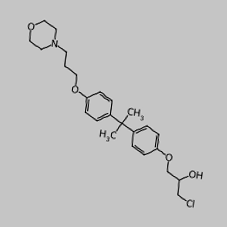 CC(C)(c1ccc(OCCCN2CCOCC2)cc1)c1ccc(OCC(O)CCl)cc1